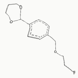 FCCOCc1ccc(C2OCCO2)cc1